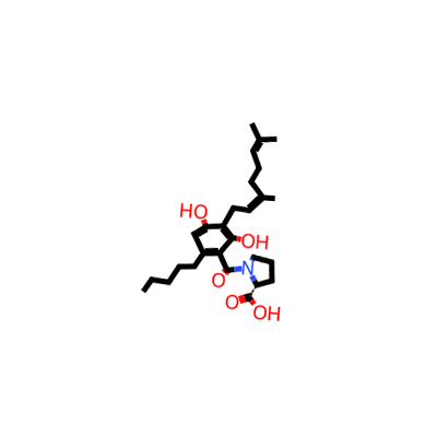 CCCCCc1cc(O)c(CC=C(C)CCC=C(C)C)c(O)c1C(=O)N1CCC[C@@H]1C(=O)O